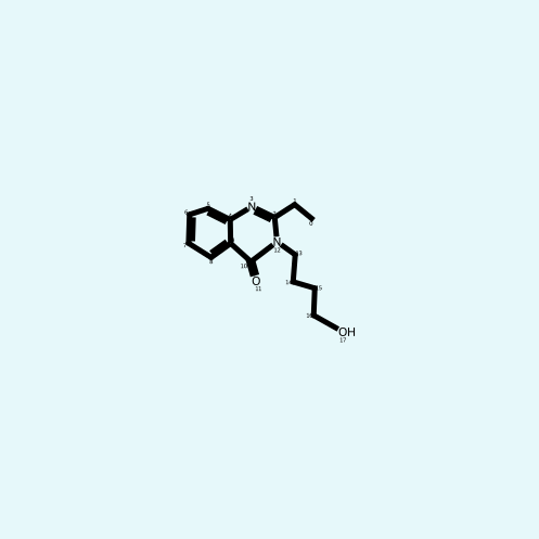 CCc1nc2ccccc2c(=O)n1CCCCO